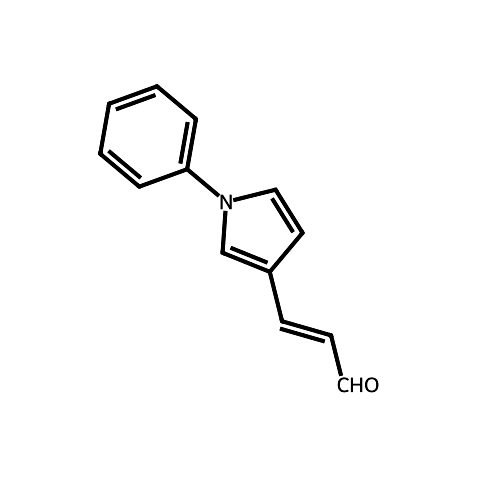 O=C/C=C/c1ccn(-c2ccccc2)c1